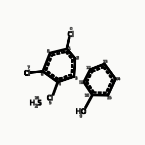 Clc1ccc(Cl)c(Cl)c1.Oc1ccccc1.S